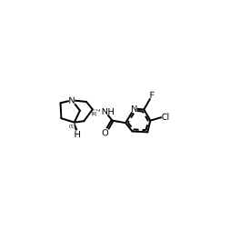 O=C(N[C@@H]1C[C@@H]2CCN(C2)C1)c1ccc(Cl)c(F)n1